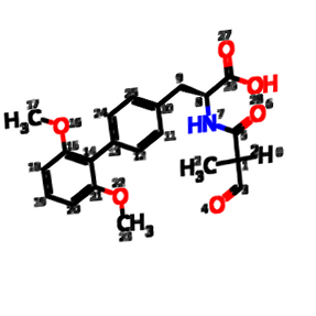 [2H]C(C)(C=O)C(=O)N[C@@H](Cc1ccc(-c2c(OC)cccc2OC)cc1)C(=O)O